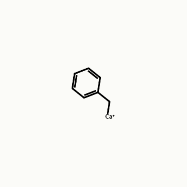 [Ca+][CH2]c1ccccc1